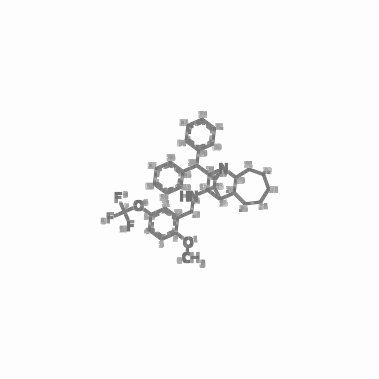 COc1ccc(OC(F)(F)F)cc1CNC1C2CCN(C3CCCCCC23)C1C(c1ccccc1)c1ccccc1